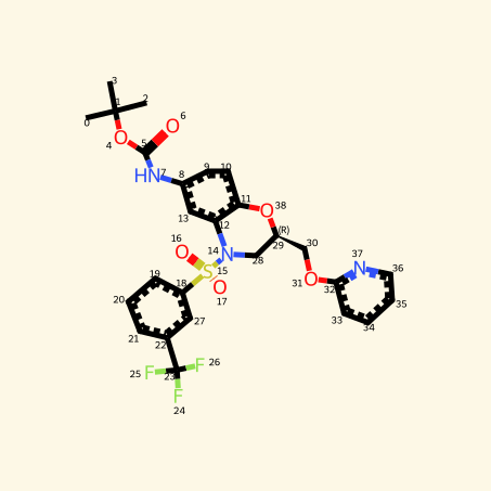 CC(C)(C)OC(=O)Nc1ccc2c(c1)N(S(=O)(=O)c1cccc(C(F)(F)F)c1)C[C@H](COc1ccccn1)O2